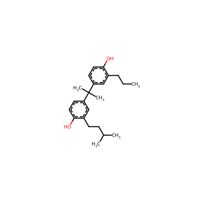 CCCc1cc(C(C)(C)c2ccc(O)c(CCC(C)C)c2)ccc1O